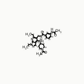 CCc1nc2c(cnn2CC)c(NC2CCN(C(N)=O)CC2)c1CNC(=O)c1cccc(NC(C)=O)c1